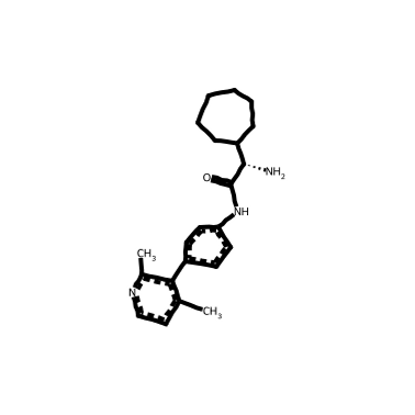 Cc1ccnc(C)c1-c1ccc(NC(=O)[C@@H](N)C2CCCCCC2)cc1